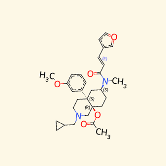 COc1cccc([C@@]23CCN(CC4CC4)C[C@@]2(OC(C)=O)CC[C@H](N(C)C(=O)/C=C/c2ccoc2)C3)c1